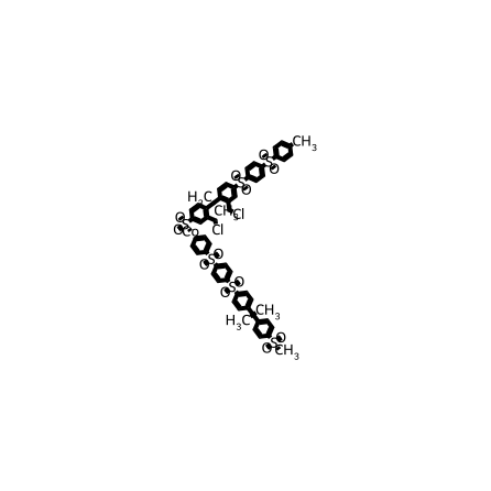 Cc1ccc(S(=O)(=O)c2ccc(S(=O)(=O)c3ccc(C(C)(C)c4ccc([S](=O)(=O)[Co][c]5ccc(S(=O)(=O)c6ccc(S(=O)(=O)c7ccc(C(C)(C)c8ccc(S(C)(=O)=O)cc8)cc7)cc6)cc5)cc4CCl)c(CCl)c3)cc2)cc1